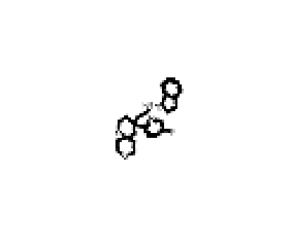 Fc1ccc(C2(CCN[C@H]3CCc4ccccc43)CCOC3(CCOCC3)C2)nc1